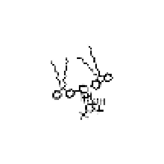 CCCCCCCCC1(CCCCCCCC)c2ccccc2-c2ccc(-c3ccc(-c4ccc5c(c4)C(CCCCCCCC)(CCCCCCCC)c4ccccc4-5)c4nn(-c5cc(C(C)(C)C)cc(C(C)(C)C)c5O)nc34)cc21